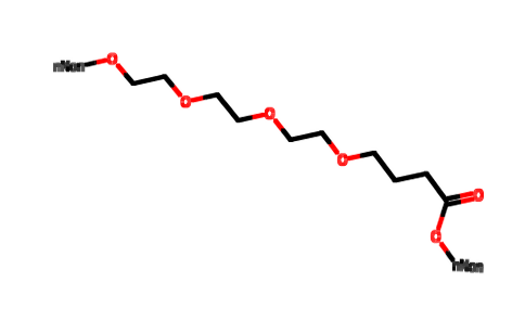 CCCCCCCCCOCCOCCOCCOCCCC(=O)OCCCCCCCCC